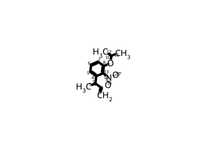 C=C[C](C)c1cccc(OC(C)C)c1[N+](=O)[O-]